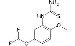 COc1ccc(OC(F)F)cc1NC(N)=S